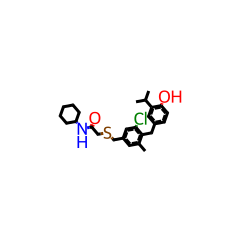 Cc1cc(CSCC(=O)NC2CCCCC2)cc(Cl)c1Cc1ccc(O)c(C(C)C)c1